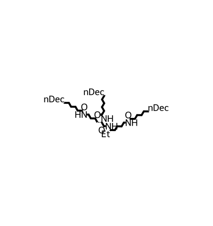 CCCCCCCCCCCCCCCC(=O)NCCCC[C@@H](CC)NC(=O)[C@H](CCCCNC(=O)CCCCCCCCCCCCCCC)NC(=O)CCCCCCCCCCCCCCC